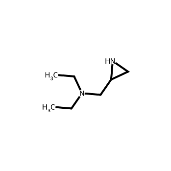 CCN(CC)CC1CN1